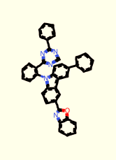 c1ccc(-c2ccc3c(c2)c2cc(-c4nc5ccccc5o4)ccc2n3-c2ccccc2-c2ncnc(-c3ccccc3)n2)cc1